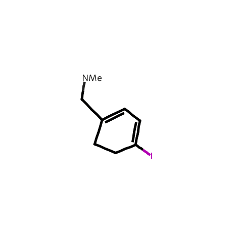 CNCC1=CC=C(I)CC1